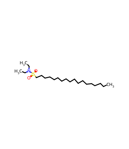 CCCCCCCCCCCCCCCCCCS(=O)(=O)N(CC)CC